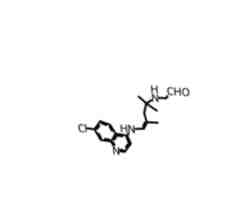 C/C(=C/Nc1ccnc2cc(Cl)ccc12)CC(C)(C)NCC=O